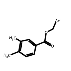 CC(=O)COC(=O)c1ccc(C)c(C)c1